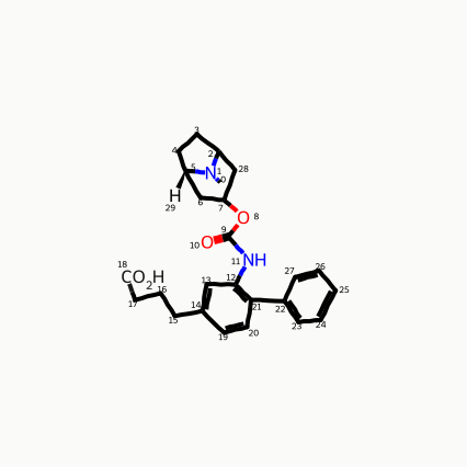 CN1C2CC[C@H]1CC(OC(=O)Nc1cc(CCCC(=O)O)ccc1-c1ccccc1)C2